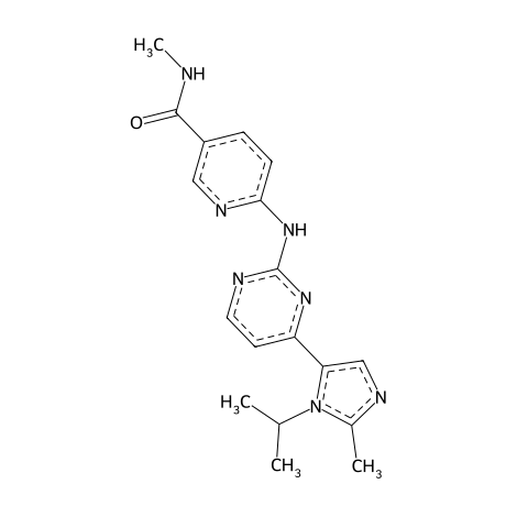 CNC(=O)c1ccc(Nc2nccc(-c3cnc(C)n3C(C)C)n2)nc1